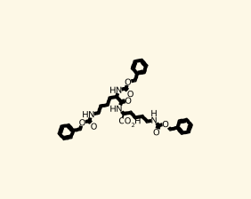 O=C(NCCCCC(NC(=O)OCc1ccccc1)C(=O)N[C@@H](CCCCNC(=O)OCc1ccccc1)C(=O)O)OCc1ccccc1